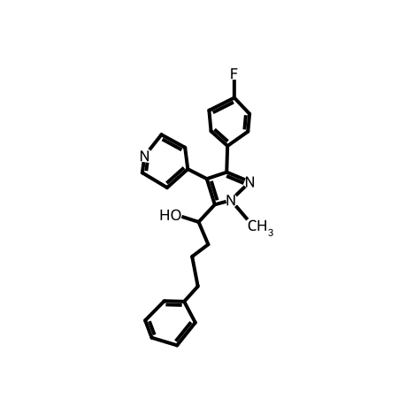 Cn1nc(-c2ccc(F)cc2)c(-c2ccncc2)c1C(O)CCCc1ccccc1